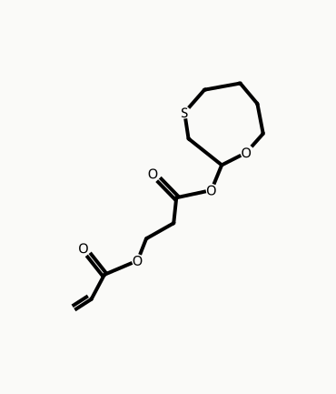 C=CC(=O)OCCC(=O)OC1CSCCCCO1